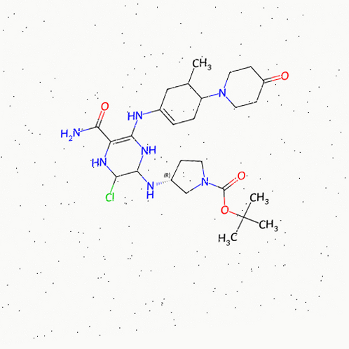 CC1CC(NC2=C(C(N)=O)NC(Cl)C(N[C@@H]3CCN(C(=O)OC(C)(C)C)C3)N2)=CCC1N1CCC(=O)CC1